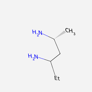 CCC(N)C[C@@H](C)N